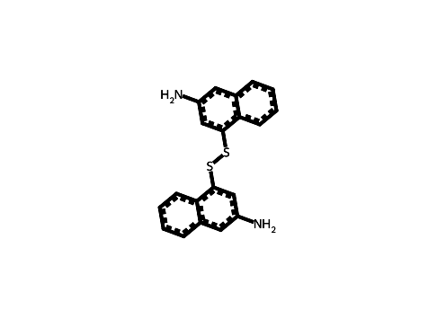 Nc1cc(SSc2cc(N)cc3ccccc23)c2ccccc2c1